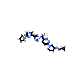 CC(c1ccc(N2CCC[C@@H](NCC3CC3)C2)nn1)n1cnc(-c2cncc(N3CCCC3)n2)c1